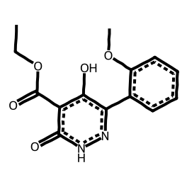 CCOC(=O)c1c(O)c(-c2ccccc2OC)n[nH]c1=O